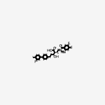 Cc1ccc(-c2ccc(CC[C@@H](O)[C@H](CCn3nnc4cc(F)c(F)cc4c3=O)C(=O)O)cc2)cc1F